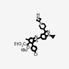 CCOC(=O)[C@@H](OC(C)(C)C)c1c(C)cc2nc(-c3ccc4c(c3)c(C3CCN(C5CNC5)CC3)nn4C3CC3)sc2c1-c1ccc(Cl)cc1